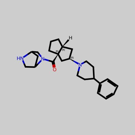 O=C(N1CC2CC1CN2)[C@@]12CCC[C@@H]1C[C@@H](N1CCC(c3ccccc3)CC1)C2